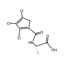 C[C@H](NC(=O)c1sc(Cl)c(Cl)c1Cl)C(=O)O